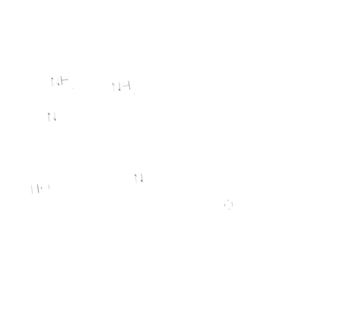 Cc1nc(/C(N)=C(\CO)N(C)N)ccc1OCC1CCC1